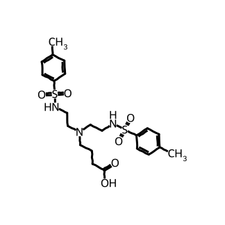 Cc1ccc(S(=O)(=O)NCCN(CCCC(=O)O)CCNS(=O)(=O)c2ccc(C)cc2)cc1